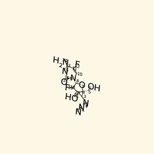 [N-]=[N+]=NC1[C@]2(CO)O[C@@H](n3cc(F)c(N)nc3=O)[C@H](F)[C@@]12O